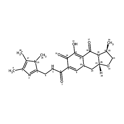 Cc1nc(CNC(=O)c2cn3c(c(O)c2=O)C(=O)N2[C@@H](C)CO[C@@H]2C3)n(C)c1C